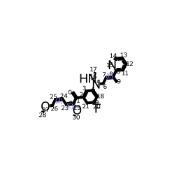 C=C(C1=CC(N(C/C=C(\C)c2ccccn2)NC)=CC(F)C1)/C(=C\C=C/COC)OC